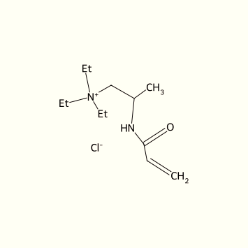 C=CC(=O)NC(C)C[N+](CC)(CC)CC.[Cl-]